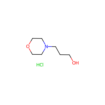 Cl.OCCCN1CCOCC1